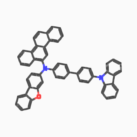 c1ccc2c(c1)ccc1c3ccccc3c(N(c3ccc(-c4ccc(-n5c6ccccc6c6ccccc65)cc4)cc3)c3ccc4c(c3)oc3ccccc34)cc21